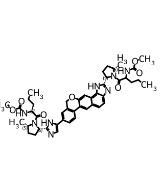 CCCC(NC(=O)OC)C(=O)N1[C@@H](C)CC[C@H]1c1nc2ccc3cc4c(cc3c2[nH]1)OCc1cc(-c2cnc([C@@H]3CC[C@H](C)N3C(=O)[C@H](CCC)NC(=O)OC)[nH]2)ccc1-4